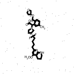 COc1cc(CCCCC(F)(F)[C@@H]2CCN(C(C(=O)O)c3cc(C)ccc3CO[C@H]3CCOC3)C2)nc2c1CCCN2